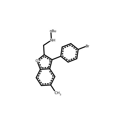 CCCCNCc1oc2ccc(C)cc2c1-c1ccc(Br)cc1